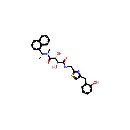 C[C@H](c1cccc2ccccc12)N(C)C(=O)[C@H](O)[C@@H](O)C(=O)NCc1nc(Cc2ccccc2O)cs1